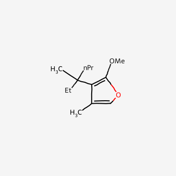 CCCC(C)(CC)c1c(C)coc1OC